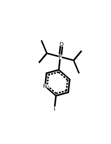 CC(C)P(=O)(c1ccc(I)nc1)C(C)C